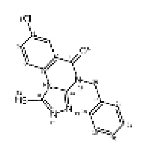 O=c1c2cc(Cl)ccc2n2c(S)nnc2n1Cc1ccccc1